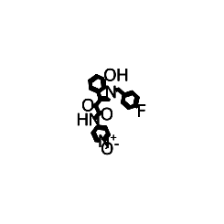 O=C(Nc1cc[n+]([O-])cc1)C(=O)c1cn(Cc2ccc(F)cc2)c2c(O)cccc12